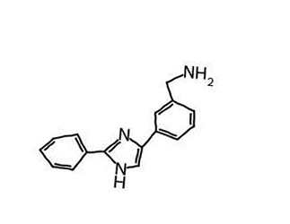 NCc1cccc(-c2c[nH]c(-c3ccccc3)n2)c1